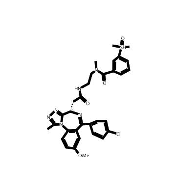 COc1ccc2c(c1)C(c1ccc(Cl)cc1)=N[C@@H](CC(=O)NCCN(C)C(=O)c1cccc([SH](C)(C)=O)c1)c1nnc(C)n1-2